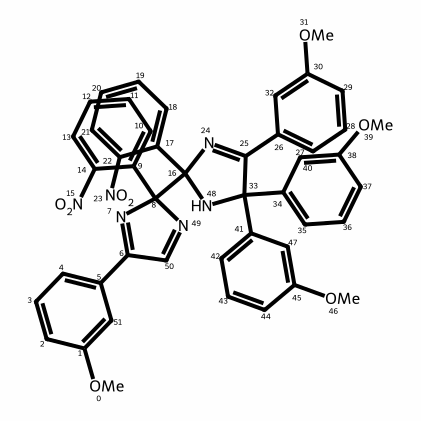 COc1cccc(C2=NC(c3ccccc3[N+](=O)[O-])(C3(c4ccccc4[N+](=O)[O-])N=C(c4cccc(OC)c4)C(c4cccc(OC)c4)(c4cccc(OC)c4)N3)N=C2)c1